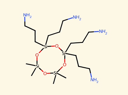 C[Si]1(C)O[Si](C)(C)O[Si](CCCN)(CCCN)O[Si](CCCN)(CCCN)O1